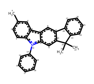 Cc1ccc2c(c1)c1cc3c(cc1n2-c1ccccc1)C(C)(C)c1ccccc1-3